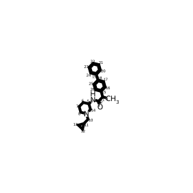 CC(C(=O)NC1CCCN(CC2CC2)C1)c1ccc(-c2ccccc2)cc1